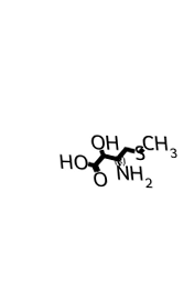 CSC[C@H](N)C(O)C(=O)O